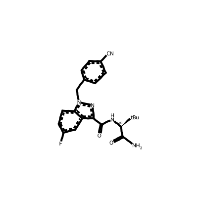 CC(C)(C)[C@H](NC(=O)c1nn(Cc2ccc(C#N)cc2)c2ccc(F)cc12)C(N)=O